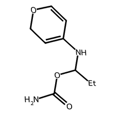 CCC(NC1=CCOC=C1)OC(N)=O